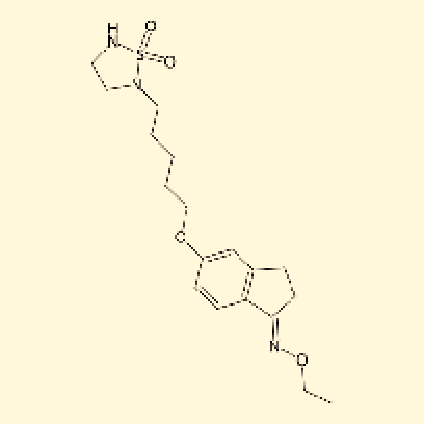 CCO/N=C1\CCc2cc(OCCCCCN3CCNS3(=O)=O)ccc21